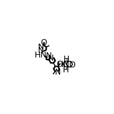 Cc1cc(-c2ccn3nc(Nc4cc(C)c(=O)n(C)n4)cc3c2)c(OC2C[C@H]3COC[C@@H](C2)N3)cn1